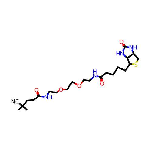 CC(C)(C#N)CCC(=O)NCCOCCOCCNC(=O)CCCCC1SCC2NC(=O)NC21